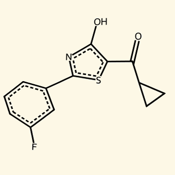 O=C(c1sc(-c2cccc(F)c2)nc1O)C1CC1